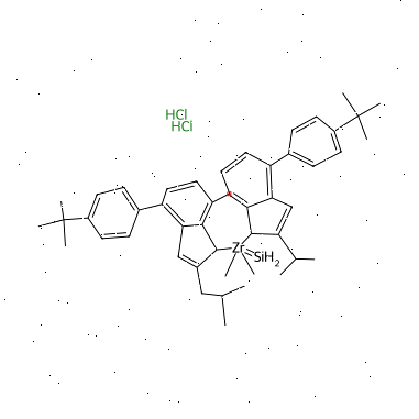 Cc1ccc(-c2ccc(C(C)(C)C)cc2)c2c1[CH]([Zr]([CH3])([CH3])(=[SiH2])[CH]1C(C(C)C)=Cc3c(-c4ccc(C(C)(C)C)cc4)cccc31)C(CC(C)C)=C2.Cl.Cl